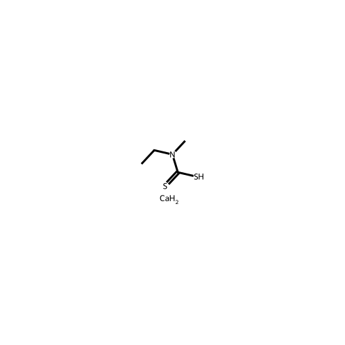 CCN(C)C(=S)S.[CaH2]